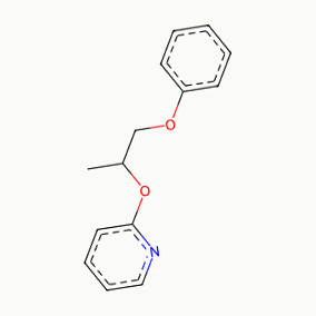 CC(COc1ccccc1)Oc1ccccn1